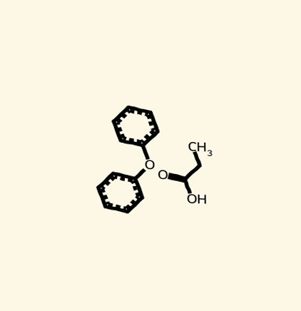 CCC(=O)O.c1ccc(Oc2ccccc2)cc1